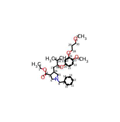 CCOC(=O)C1CN(Cc2ccccc2)CC1C[C@H](Oc1ccc(OC)c(OCCCOC)c1)C(C)C